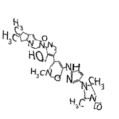 C[C@@H]1CN(c2ccc(N/C3=C/C(c4ccnc(N5CCn6c(cc7c6CC(C)(C)C7)C5=O)c4CO)=C\N(C)COC3)nc2)[C@@H](C)CN1C1COC1